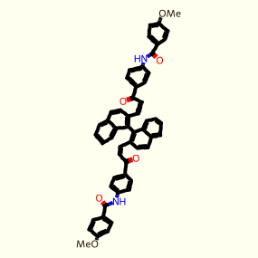 COc1ccc(C(=O)Nc2ccc(C(=O)/C=C\c3ccc4ccccc4c3-c3c(/C=C\C(=O)c4ccc(NC(=O)c5ccc(OC)cc5)cc4)ccc4ccccc34)cc2)cc1